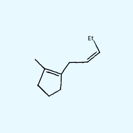 CC/C=C\CC1=C(C)CCC1